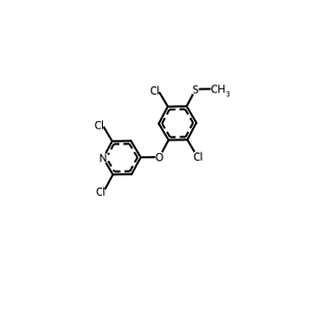 CSc1cc(Cl)c(Oc2cc(Cl)nc(Cl)c2)cc1Cl